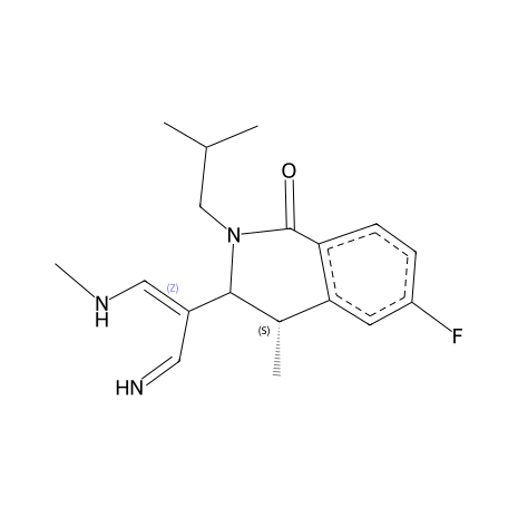 CN/C=C(\C=N)C1[C@@H](C)c2cc(F)ccc2C(=O)N1CC(C)C